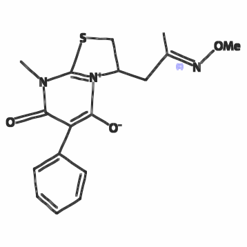 CO/N=C(\C)CC1CSc2n(C)c(=O)c(-c3ccccc3)c([O-])[n+]21